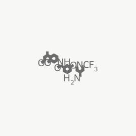 Cc1cc(=O)oc2cc(NC(=O)c3cccc(Oc4cc(CN)cc(C(F)(F)F)n4)c3)ccc12